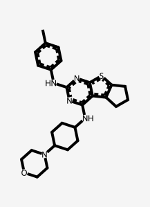 Cc1ccc(Nc2nc(NC3CCC(N4CCOCC4)CC3)c3c4c(sc3n2)CCC4)cc1